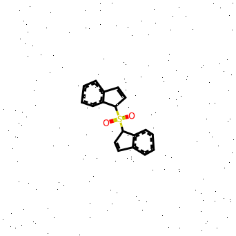 O=S(=O)(C1C=Cc2ccccc21)C1C=Cc2ccccc21